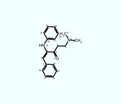 CN(C)CCC(=O)/C(=C\c1ccccc1)Nc1ccccc1